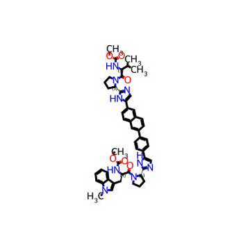 COC(=O)N[C@H](C(=O)N1CCC[C@H]1c1ncc(-c2ccc3cc(-c4ccc(-c5cnc([C@@H]6CCCN6C(=O)[C@@H](Cc6cn(C)c7ccccc67)NC(=O)OC)[nH]5)cc4)ccc3c2)[nH]1)C(C)C